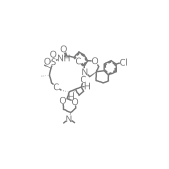 C[C@@H]1[C@@H](C)CCC[C@@H]([C@H]2OC[C@@H](N(C)C)CO2)[C@@H]2CC[C@H]2CN2C[C@@]3(CCCc4cc(Cl)ccc43)COc3ccc(cc32)C(=O)NS1(=O)=O